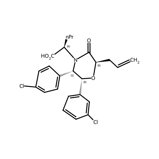 C=CC[C@H]1O[C@H](c2cccc(Cl)c2)[C@H](c2ccc(Cl)cc2)N([C@H](CCC)C(=O)O)C1=O